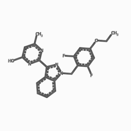 CCOc1cc(F)c(Cn2nc(-c3nc(C)cc(O)n3)c3ccccc32)c(F)c1